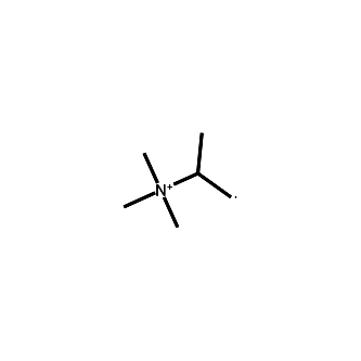 [CH2]C(C)[N+](C)(C)C